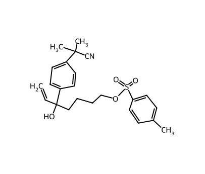 C=CC(O)(CCCCOS(=O)(=O)c1ccc(C)cc1)c1ccc(C(C)(C)C#N)cc1